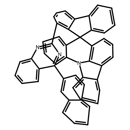 c1ccc2c(c1)-c1cccc(-c3nc(-c4ccc5ccccc5c4)c4ccccc4n3)c1C21c2ccccc2-n2c3ccccc3c3cccc1c32